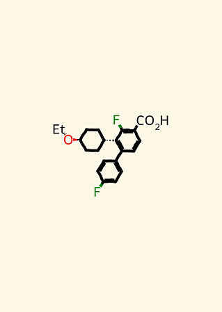 CCO[C@H]1CC[C@H](c2c(-c3ccc(F)cc3)ccc(C(=O)O)c2F)CC1